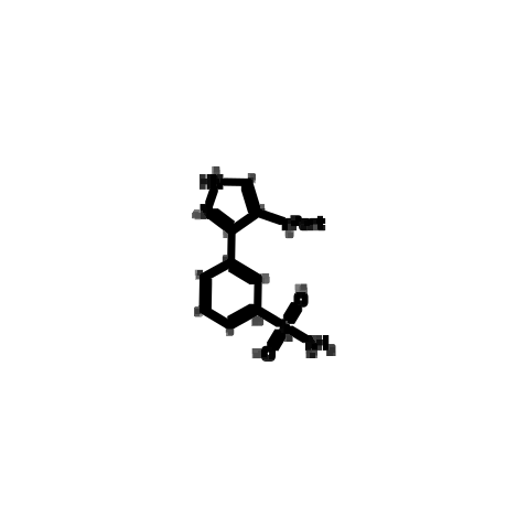 CCCCCc1c[nH]nc1-c1cccc(S(N)(=O)=O)c1